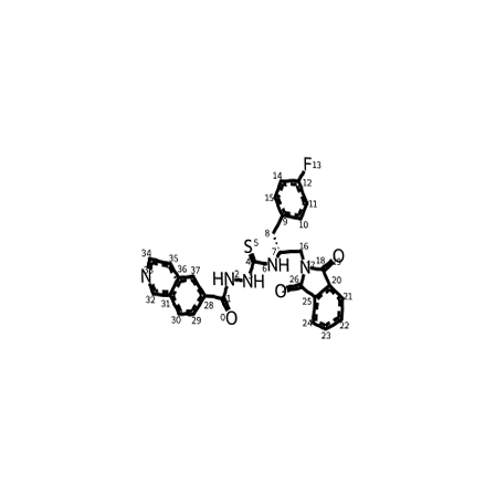 O=C(NNC(=S)N[C@H](Cc1ccc(F)cc1)CN1C(=O)c2ccccc2C1=O)c1ccc2cnccc2c1